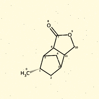 C[C@H]1CC2CC1C1C(=O)OCC21